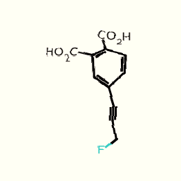 O=C(O)c1ccc(C#CCF)cc1C(=O)O